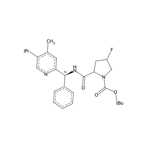 Cc1cc([C@@H](NC(=O)C2CC(F)CN2C(=O)OC(C)(C)C)c2ccccc2)ncc1C(C)C